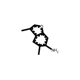 Cc1cc2c(C)coc2cc1N